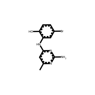 Cc1cc(Nc2cc(Br)ccc2O)nc(N)n1